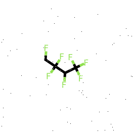 FCC(F)(F)C(F)C(F)(F)F